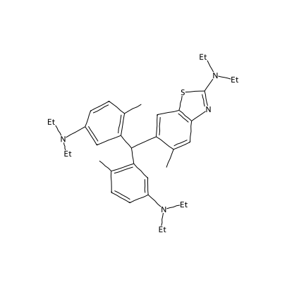 CCN(CC)c1ccc(C)c(C(c2cc(N(CC)CC)ccc2C)c2cc3sc(N(CC)CC)nc3cc2C)c1